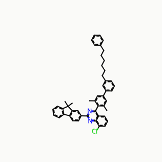 Cc1cc(-c2cccc(CCCCCCc3ccccc3)c2)cc(C)c1-c1nc(-c2ccc3c(c2)C(C)(C)c2ccccc2-3)nc2c(Cl)cccc12